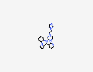 c1ccc2c(c1)NC(c1cccnc1N1CCN(CCn3ccnc3)CC1)c1cccn1-2